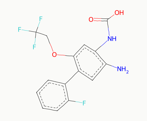 Nc1cc(-c2ccccc2F)c(OCC(F)(F)F)cc1NC(=O)O